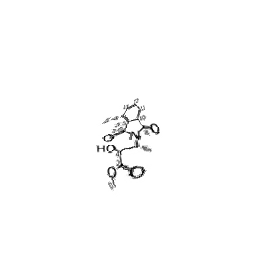 COC(=O)C(O)CN1C(=O)c2ccccc2C1=O